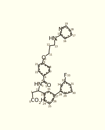 O=C(O)CC(NC(=O)c1ccc(OCCCNc2ccccn2)cc1)c1cccc(-c2cccc(F)c2)c1